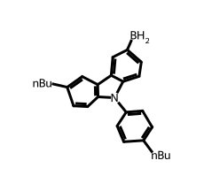 Bc1ccc2c(c1)c1cc(CCCC)ccc1n2-c1ccc(CCCC)cc1